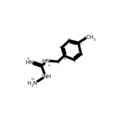 Cc1ccc(CNC(=N)NN)cc1